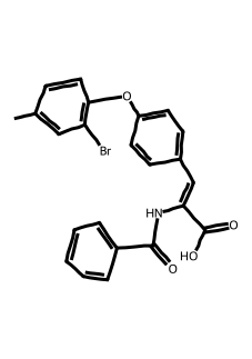 Cc1ccc(Oc2ccc(C=C(NC(=O)c3ccccc3)C(=O)O)cc2)c(Br)c1